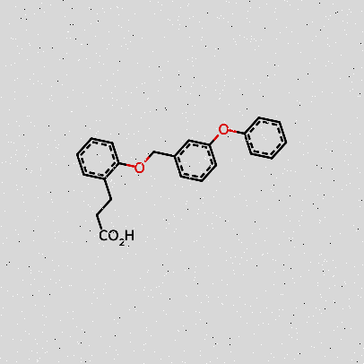 O=C(O)CCc1ccccc1OCc1cccc(Oc2ccccc2)c1